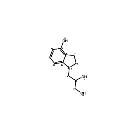 OCC(O)CN1CCc2c(O)cccc21